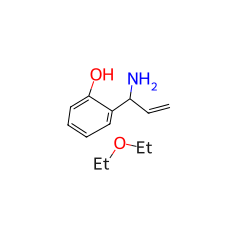 C=CC(N)c1ccccc1O.CCOCC